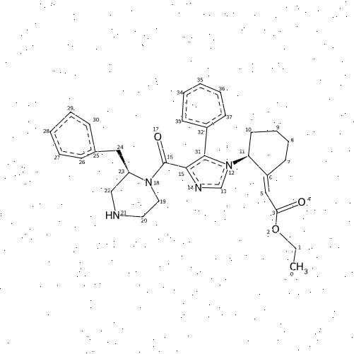 CCOC(=O)/C=C1\CCCC[C@@H]1n1cnc(C(=O)N2CCNC[C@H]2Cc2ccccc2)c1-c1ccccc1